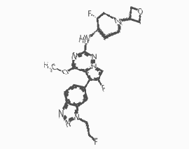 COc1nc(N[C@@H]2CCN(C3COC3)C[C@H]2F)nn2cc(F)c(-c3ccc4nnn(CCF)c4c3)c12